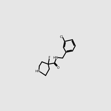 O=C(NCc1cccc(Cl)c1)C1(F)CCNCC1